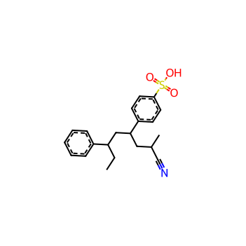 CCC(CC(CC(C)C#N)c1ccc(S(=O)(=O)O)cc1)c1ccccc1